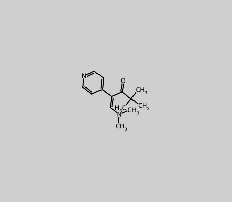 CN(C)/C=C(\C(=O)C(C)(C)C)c1ccncc1